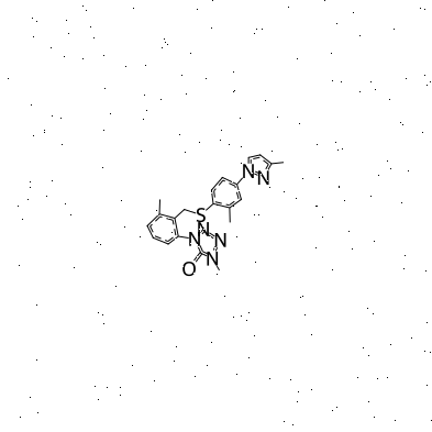 Cc1ccn(-c2ccc(SCc3c(C)cccc3-n3nnn(C)c3=O)c(C)c2)n1